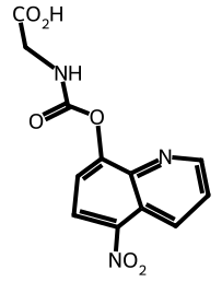 O=C(O)CNC(=O)Oc1ccc([N+](=O)[O-])c2cccnc12